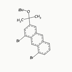 CCC(C)OC(C)(C)c1cc(Br)c2cc3c(Br)cccc3cc2c1